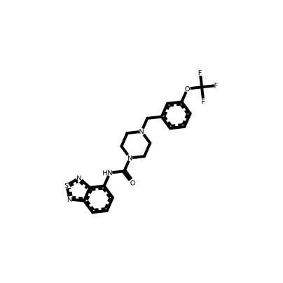 O=C(Nc1cccc2nsnc12)N1CCN(Cc2cccc(OC(F)(F)F)c2)CC1